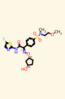 COCCN(C)S(=O)(=O)c1ccc(/C(=N\O[C@@H]2CC[C@@H](O)C2)C(=O)Nc2ncc(F)s2)cc1